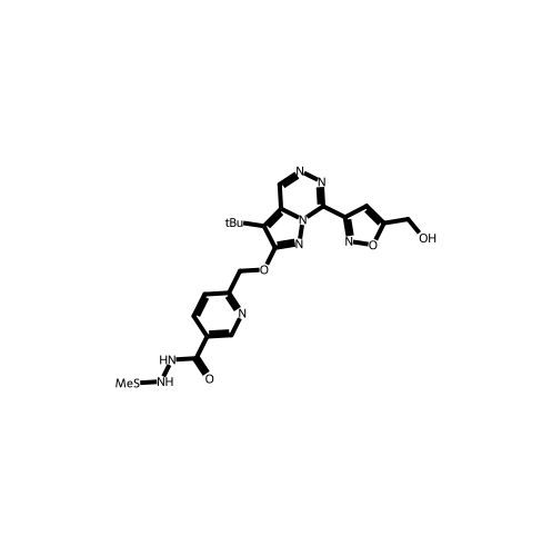 CSNNC(=O)c1ccc(COc2nn3c(-c4cc(CO)on4)nncc3c2C(C)(C)C)nc1